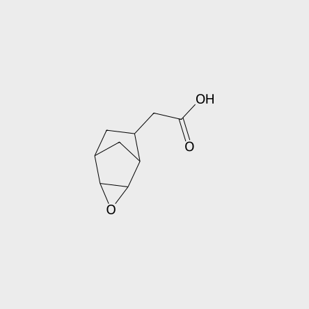 O=C(O)CC1CC2CC1C1OC21